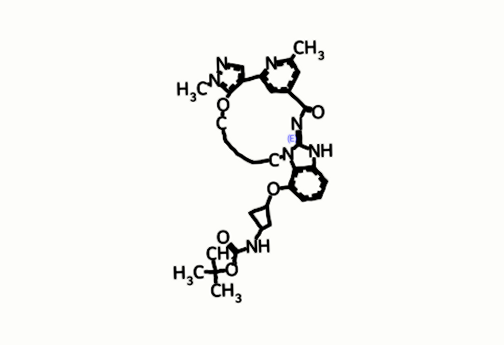 Cc1cc2cc(n1)-c1cnn(C)c1OCCCCCN1/C(=N/C2=O)Nc2cccc(OC3CC(NC(=O)OC(C)(C)C)C3)c21